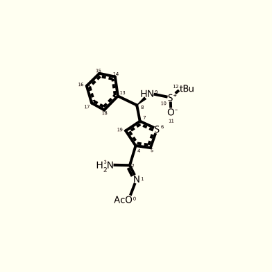 CC(=O)ON=C(N)c1csc([C@H](N[S+]([O-])C(C)(C)C)c2ccccc2)c1